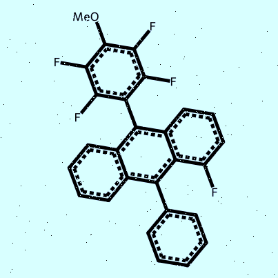 COc1c(F)c(F)c(-c2c3ccccc3c(-c3ccccc3)c3c(F)cccc23)c(F)c1F